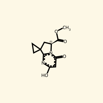 COC(=O)[C@@H]1CC2(CC2)c2nc(O)cc(=O)n21